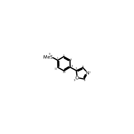 CSc1ccc(-c2cnco2)cc1